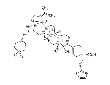 C=C(C)[C@@H]1CC[C@]2(NCCN3CCS(=O)(=O)CC3)CC[C@]3(C)[C@H](CC[C@@H]4[C@@]5(C)CC=C(C6=CCC(COc7nccs7)(C(=O)O)CC6)C(C)(C)[C@@H]5CC[C@]43C)[C@@H]12